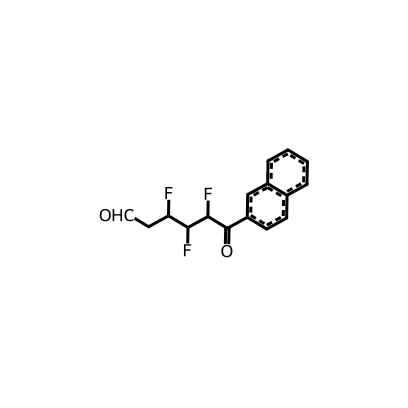 O=CCC(F)C(F)C(F)C(=O)c1ccc2ccccc2c1